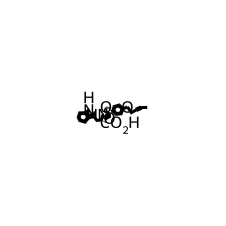 CC#CCOc1ccc(S(=O)(=O)N[C@@H](Cc2c[nH]c3ccccc23)C(=O)O)cc1